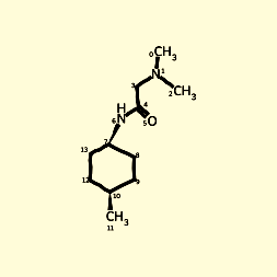 CN(C)CC(=O)N[C@H]1CC[C@@H](C)CC1